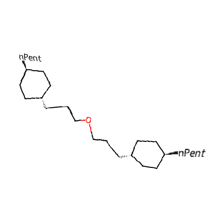 CCCCC[C@H]1CC[C@H](CCCOCCC[C@H]2CC[C@H](CCCCC)CC2)CC1